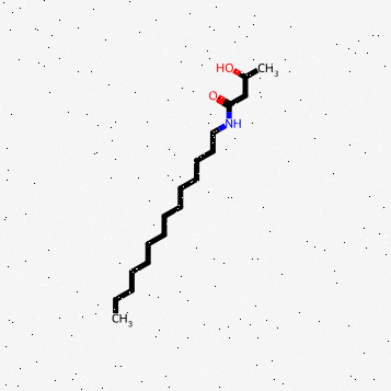 CCCCCCCCCCCCCCNC(=O)CC(C)O